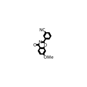 COc1ccc2c(=O)nc(-c3cccc(C#N)c3)oc2c1